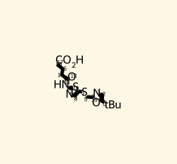 CC(C)(C)c1cnc(CSc2cnc(NC(=O)CCCC(=O)O)s2)o1